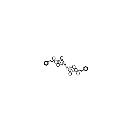 O=C(/C=C/c1ccccc1)OCN1C(=O)CN(CCN2CC(=O)N(COC(=O)/C=C/c3ccccc3)C(=O)C2)CC1=O